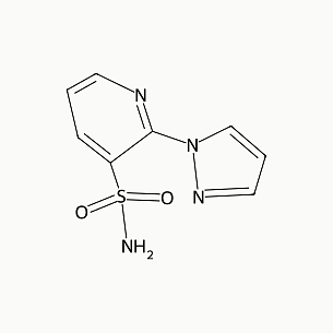 NS(=O)(=O)c1cccnc1-n1cccn1